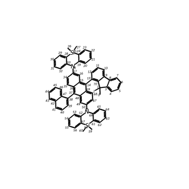 CC1(C)c2ccccc2-c2cccc(-c3c4cc(N5c6ccccc6[Si](C)(C)c6ccccc65)ccc4c(-c4cccc5ccccc45)c4cc(N5c6ccccc6[Si](C)(C)c6ccccc65)ccc34)c21